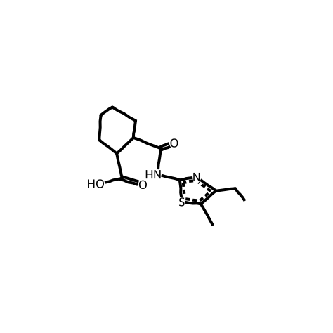 CCc1nc(NC(=O)C2CCCCC2C(=O)O)sc1C